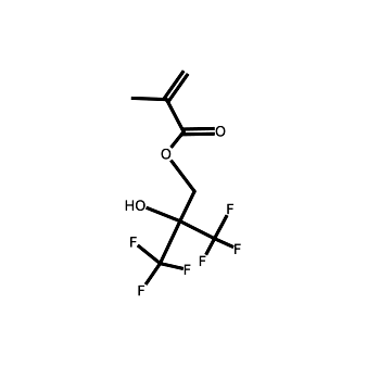 C=C(C)C(=O)OCC(O)(C(F)(F)F)C(F)(F)F